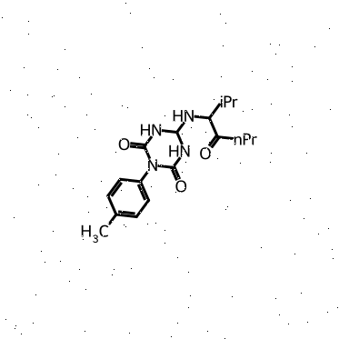 CCCC(=O)C(NC1NC(=O)N(c2ccc(C)cc2)C(=O)N1)C(C)C